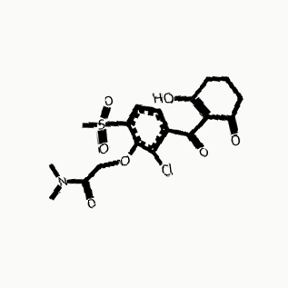 CN(C)C(=O)COc1c(S(C)(=O)=O)ccc(C(=O)C2=C(O)CCCC2=O)c1Cl